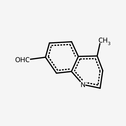 Cc1ccnc2cc(C=O)ccc12